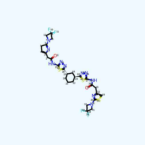 O=C(CC1=CCC(N2CC(F)(F)C2)=N1)Nc1nnc([C@H]2CCC[C@H](c3nnc(NC(=O)Cc4csc(N5CC(F)(F)C5)n4)s3)C2)s1